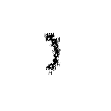 COc1cc(-c2cn(C)c(=O)c3[nH]ncc23)cc(Cl)c1CN1CCC(N(C)C(=O)N2CCC(c3ccc(NC4CCC(=O)NC4=O)cc3)CC2)CC1